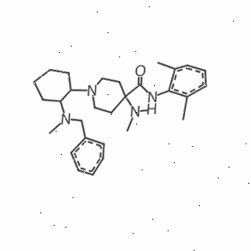 Cc1cccc(C)c1NC(=O)C1(N(C)C)CCN(C2CCCCC2N(C)Cc2ccccc2)CC1